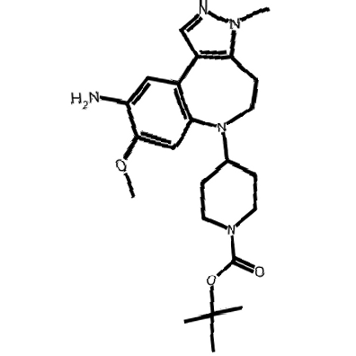 COc1cc2c(cc1N)-c1cnn(C)c1CCN2C1CCN(C(=O)OC(C)(C)C)CC1